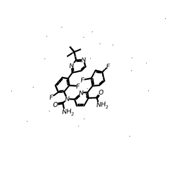 CC(C)(C)c1nccc(-c2ccc(F)c(N(C(N)=O)c3ccc(C(N)=O)c(-c4ccc(F)cc4F)n3)c2F)n1